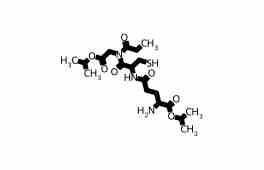 CCC(=O)N(CC(=O)OC(C)C)C(=O)C(CS)NC(=O)CCC(N)C(=O)OC(C)C